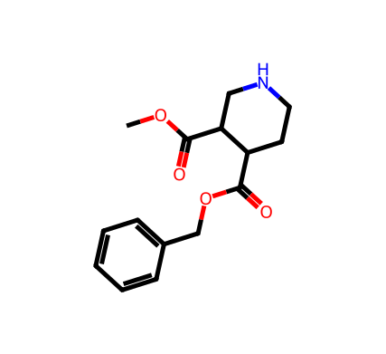 COC(=O)C1CNCCC1C(=O)OCc1ccccc1